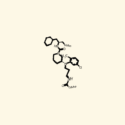 CNC[C@H](CC1CCCCC1)NC(=O)N1CCC[C@@H](N(CCCNC(=O)OC)c2cc(Cl)ccc2C)C1